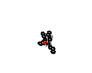 c1ccc2cc(-c3nc(-c4ccc5c(ccc6ccccc65)c4)nc(-c4ccc5oc6c7ccccc7ccc6c5c4-n4c5ccccc5c5cc6ccccc6cc54)n3)ccc2c1